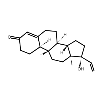 C=C[C@]1(O)CC[C@H]2[C@@H]3CCC4=CC(=O)CC[C@@H]4[C@H]3CC[C@@]21C